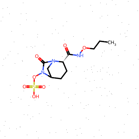 CCCONC(=O)[C@@H]1CCC2CN1C(=O)N2OS(=O)(=O)O